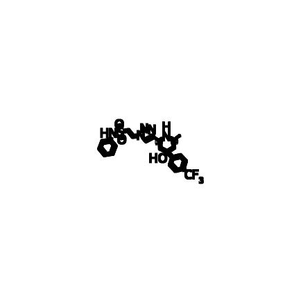 C[C@H]1CC(O)(c2ccc(C(F)(F)F)cc2)C[C@@H](c2cn(CCS(=O)(=O)Nc3ccccc3)nn2)N1